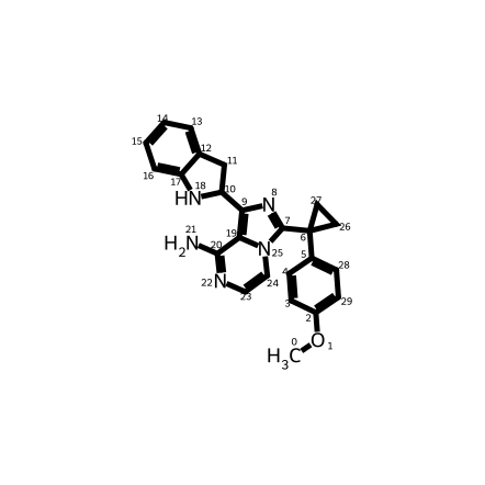 COc1ccc(C2(c3nc(C4Cc5ccccc5N4)c4c(N)nccn34)CC2)cc1